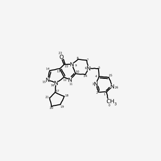 Cc1cnc(CN2CCn3c(nc4c(cnn4C4CCCC4)c3=O)C2)cn1